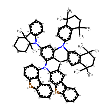 CC1(C)CCC(C)(C)c2cc(N3c4cc5c(cc4B4c6cc7c(cc6N(c6cccc8sc9ccccc9c68)c6cc(N8c9ccccc9C9(C)CCCCC89C)cc3c64)sc3ccccc37)C(C)(C)CCC5(C)C)ccc21